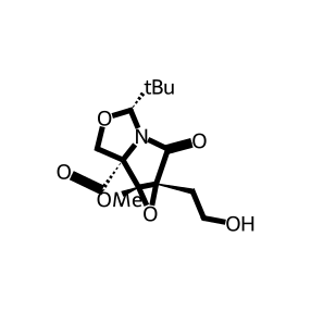 COC(=O)[C@]12CO[C@H](C(C)(C)C)N1C(=O)[C@]1(CCO)O[C@@]12C